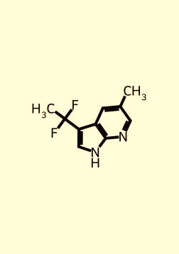 Cc1cnc2[nH]cc(C(C)(F)F)c2c1